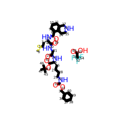 CSCC[C@H](NC(=O)c1cccc2c1CCNC2)C(=O)NCC(=O)N[C@@H](CCCCNC(=O)OCc1ccccc1)C(=O)OC(C)(C)C.O=C(O)C(F)(F)F